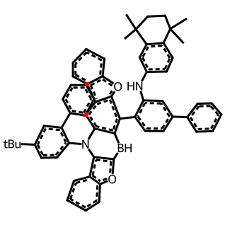 CC(C)(C)c1ccc(N2c3cc4c(oc5ccccc54)c(-c4ccc(-c5ccccc5)cc4Nc4ccc5c(c4)C(C)(C)CCC5(C)C)c3Bc3oc4ccccc4c32)c(-c2ccccc2)c1